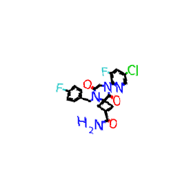 NC(=O)C1CC2(C1)C(=O)N(c1ncc(Cl)cc1F)CC(=O)N2Cc1ccc(F)cc1